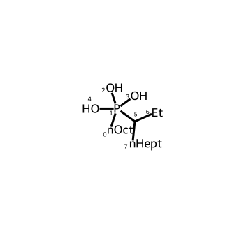 CCCCCCCCP(O)(O)(O)C(CC)CCCCCCC